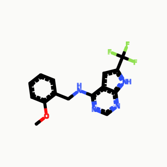 COc1ccccc1CNc1ncnc2[nH]c(C(F)(F)F)cc12